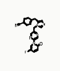 N#Cc1ccc(Cc2cncn2Cc2cnc(-n3cc(Cl)ccc3=O)cn2)cc1